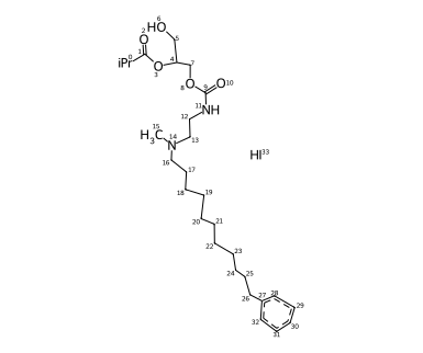 CC(C)C(=O)OC(CO)COC(=O)NCCN(C)CCCCCCCCCCCc1ccccc1.I